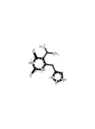 CC(C)c1c(Cc2c[nH]nn2)[nH]c(=O)[nH]c1=O